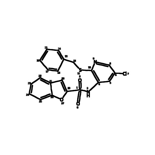 O=S(=O)(Nc1cc(Cl)cnc1SCc1ccccc1)c1cc2ccccc2o1